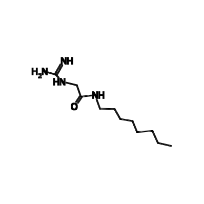 CCCCCCCCNC(=O)CNC(=N)N